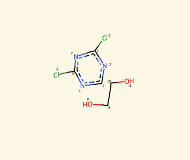 Clc1ncnc(Cl)n1.OCCO